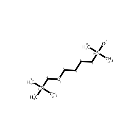 C[Si](C)(C)COCCCC[Si](C)(C)[O]